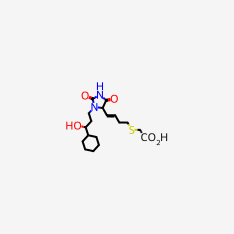 O=C(O)CSCCC=CC1C(=O)NC(=O)N1CCC(O)C1CCCCC1